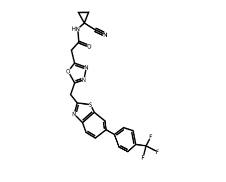 N#CC1(NC(=O)Cc2nnc(Cc3nc4ccc(-c5ccc(C(F)(F)F)cc5)cc4s3)o2)CC1